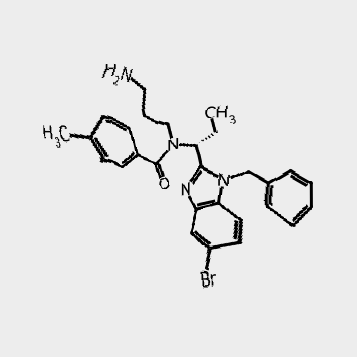 CC[C@H](c1nc2cc(Br)ccc2n1Cc1ccccc1)N(CCCN)C(=O)c1ccc(C)cc1